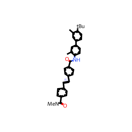 CNC(=O)c1ccc(/C=C/c2ccc(C(=O)Nc3ccc(-c4ccc(C(C)(C)C)c(C)c4)cc3C)cc2)cc1